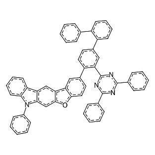 c1ccc(-c2nc(-c3ccccc3)nc(-c3cc(-c4ccccc4-c4ccccc4)ccc3-c3ccc4oc5cc6c(cc5c4c3)c3ccccc3n6-c3ccccc3)n2)cc1